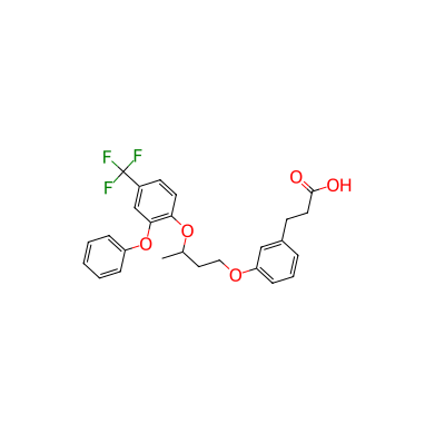 CC(CCOc1cccc(CCC(=O)O)c1)Oc1ccc(C(F)(F)F)cc1Oc1ccccc1